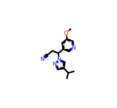 COc1cncc(C(CC#N)n2cc(C(C)C)cn2)c1